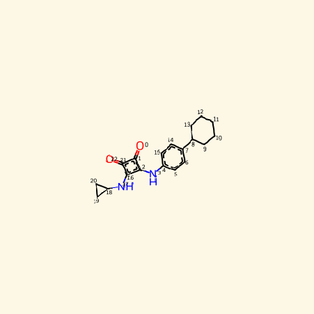 O=c1c(Nc2ccc(C3CCCCC3)cc2)c(NC2CC2)c1=O